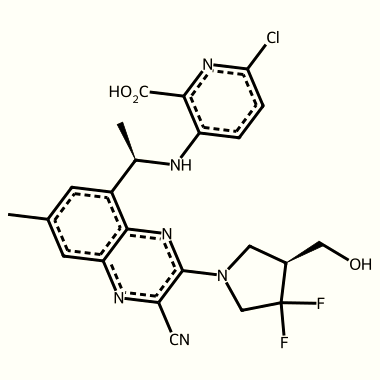 Cc1cc([C@@H](C)Nc2ccc(Cl)nc2C(=O)O)c2nc(N3C[C@@H](CO)C(F)(F)C3)c(C#N)nc2c1